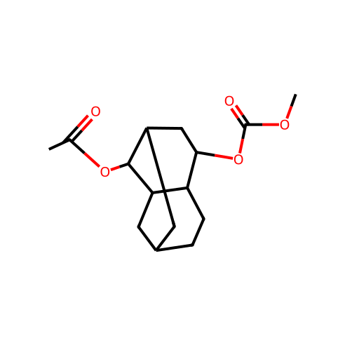 COC(=O)OC1CC2CC3CCC1C(C3)C2OC(C)=O